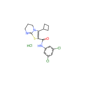 Cl.O=C(Nc1cc(Cl)cc(Cl)c1)C1=C(C2CCC2)N2CCCN=C2S1